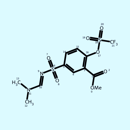 COC(=O)c1cc(S(=O)(=O)N=CN(C)C)ccc1OS(=O)(=O)C(F)(F)F